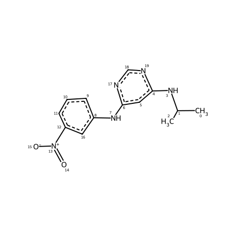 CC(C)Nc1cc(Nc2cccc([N+](=O)[O-])c2)ncn1